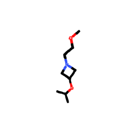 COCCN1CC(OC(C)C)C1